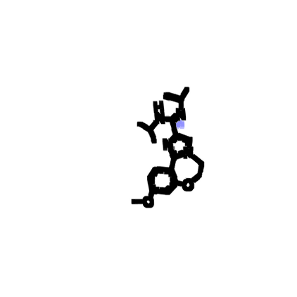 C=C(C)/N=C(\NC(C)C)c1cn2c(n1)-c1ccc(OC)cc1OCC2